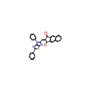 O=C1C(=Cc2nc3sc(-c4ccccc4)nc3n2-c2ccccc2)C(=O)c2cc3ccccc3cc21